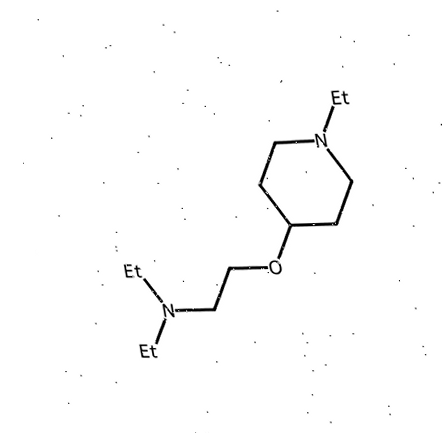 CCN(CC)CCOC1CCN(CC)CC1